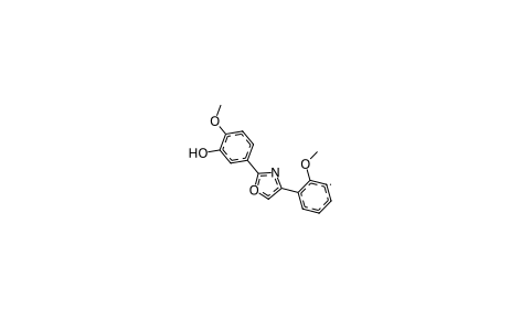 COc1[c]cccc1-c1coc(-c2ccc(OC)c(O)c2)n1